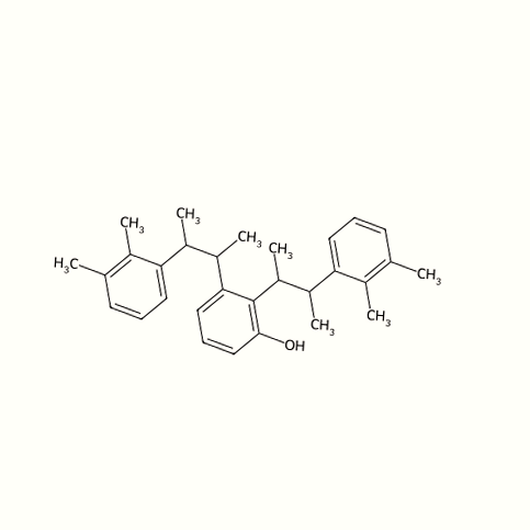 Cc1cccc(C(C)C(C)c2cccc(O)c2C(C)C(C)c2cccc(C)c2C)c1C